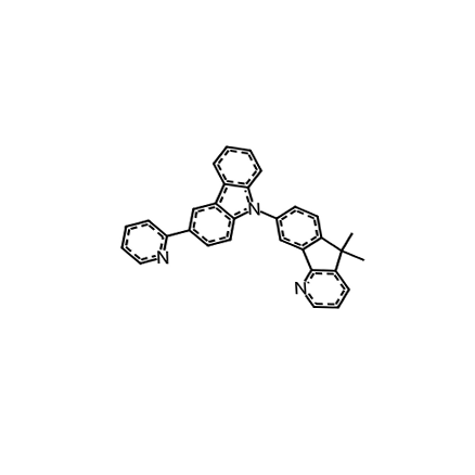 CC1(C)c2ccc(-n3c4ccccc4c4cc(-c5ccccn5)ccc43)cc2-c2ncccc21